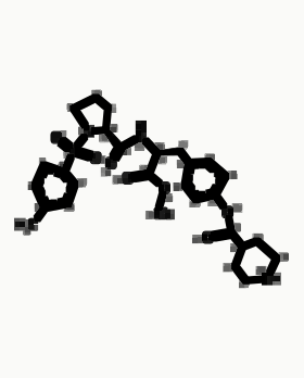 Cc1ccc(S(=O)(=O)N2CCC[C@H]2C(=O)N[C@@H](Cc2ccc(OC(=O)C3CCNCC3)cc2)C(=O)OC(C)(C)C)cc1